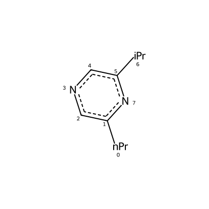 CCCc1cncc(C(C)C)n1